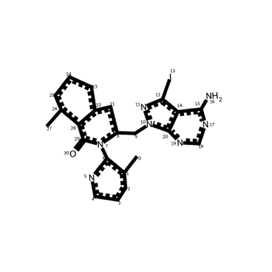 Cc1cccnc1-n1c(Cn2nc(I)c3c(N)ncnc32)cc2cccc(C)c2c1=O